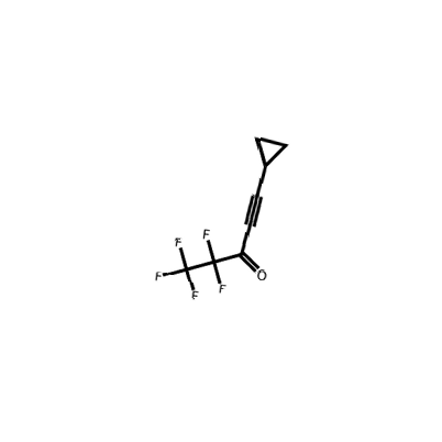 O=C(C#CC1CC1)C(F)(F)C(F)(F)F